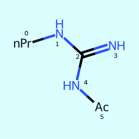 [CH2]CCNC(=N)NC(C)=O